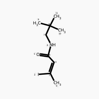 CC(I)=CC(=O)NCC(C)(C)C